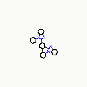 c1ccc(-n2c(-c3ccc4c5ccccc5n5c6ccccc6nc5c4c3)nc3ccccc32)cc1